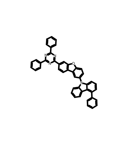 c1ccc(-c2nc(-c3ccccc3)nc(-c3ccc4c(c3)oc3ccc(-n5c6ccccc6c6c(-c7ccccc7)cccc65)cc34)n2)cc1